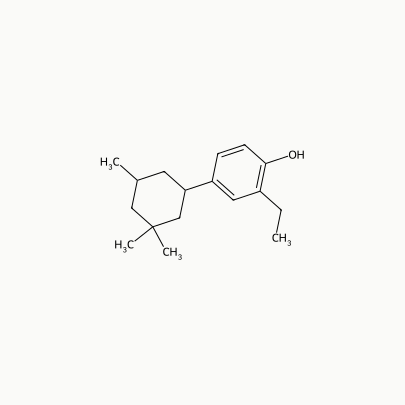 CCc1cc(C2CC(C)CC(C)(C)C2)ccc1O